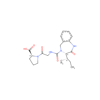 CC[C@H](C)[C@H]1C(=O)Nc2ccccc2CN1C(=O)NCC(=O)N1CCC[C@H]1C(=O)O